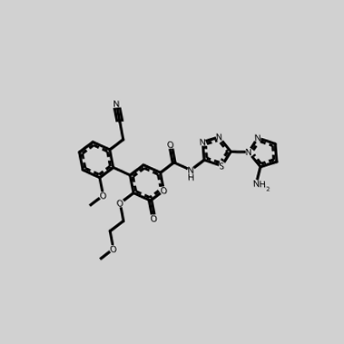 COCCOc1c(-c2c(CC#N)cccc2OC)cc(C(=O)Nc2nnc(-n3nccc3N)s2)oc1=O